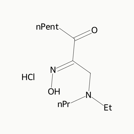 CCCCCC(=O)C(CN(CC)CCC)=NO.Cl